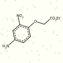 CCOC(=O)COc1ccc(N)cc1[N+](=O)[O-]